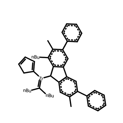 CCCC[C](CCCC)=[Zr]([C]1=CC=CC1)[CH]1c2cc(C)c(-c3ccccc3)cc2-c2cc(-c3ccccc3)c(C)c(CCCC)c21